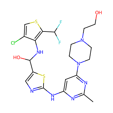 Cc1nc(Nc2ncc(C(O)Nc3c(Cl)csc3C(F)F)s2)cc(N2CCN(CCO)CC2)n1